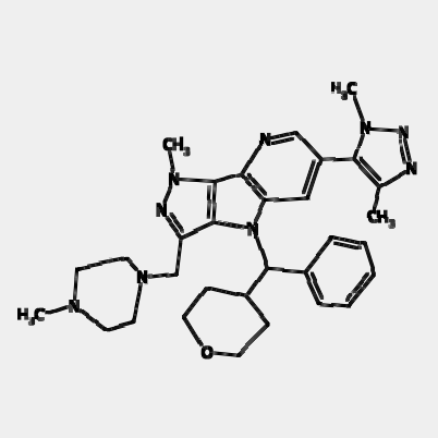 Cc1nnn(C)c1-c1cnc2c3c(c(CN4CCN(C)CC4)nn3C)n(C(c3ccccc3)C3CCOCC3)c2c1